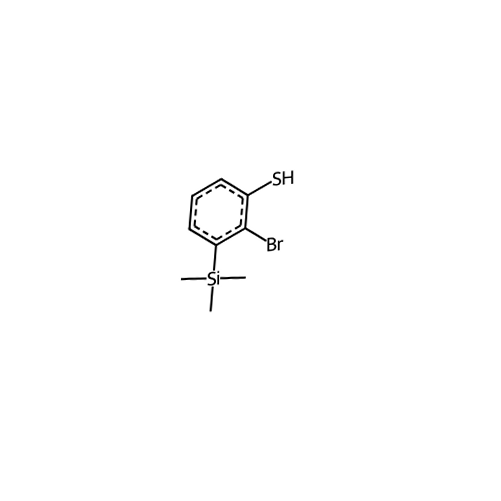 C[Si](C)(C)c1cccc(S)c1Br